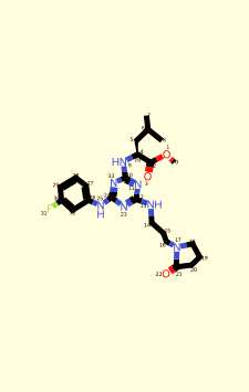 COC(=O)[C@H](CC(C)C)Nc1nc(NCCCN2CCCC2=O)nc(Nc2cccc(F)c2)n1